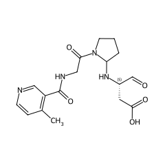 Cc1ccncc1C(=O)NCC(=O)N1CCCC1N[C@H](C=O)CC(=O)O